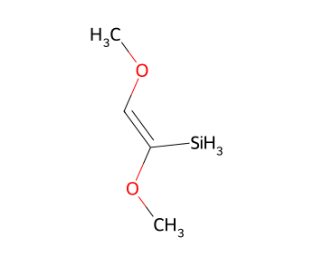 COC=C([SiH3])OC